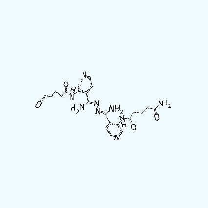 NC(=O)CCCC(=O)Nc1cnccc1/C(N)=N/N=C(\N)c1ccncc1NC(=O)CCCC=O